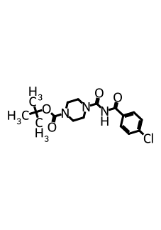 CC(C)(C)OC(=O)N1CCN(C(=O)NC(=O)c2ccc(Cl)cc2)CC1